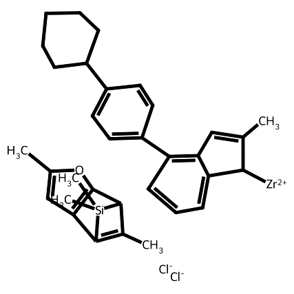 CC1=C2c3cc(C)oc3C1[Si]2(C)C.CC1=Cc2c(-c3ccc(C4CCCCC4)cc3)cccc2[CH]1[Zr+2].[Cl-].[Cl-]